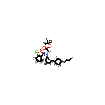 CCCCc1ccc(-c2cccc(N(CC(=O)OC(C)(C)C)C(=O)c3c(F)cccc3F)c2)cc1